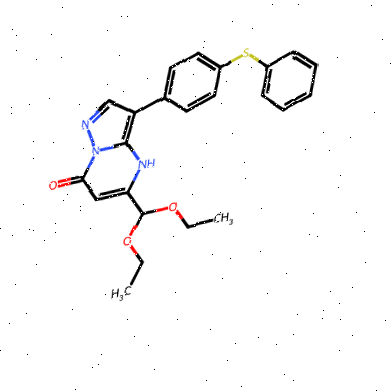 CCOC(OCC)c1cc(=O)n2ncc(-c3ccc(Sc4ccccc4)cc3)c2[nH]1